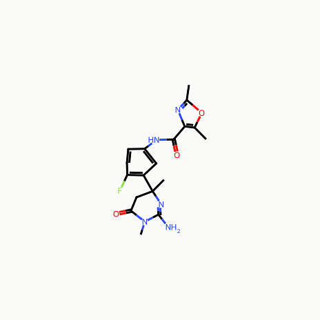 Cc1nc(C(=O)Nc2ccc(F)c(C3(C)CC(=O)N(C)C(N)=N3)c2)c(C)o1